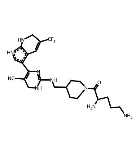 N#CC1=C(c2c[nH]c3c2C=C(C(F)(F)F)CN3)N=C(NCC2CCN(C(=O)[C@H](N)CCCN)CC2)NC1